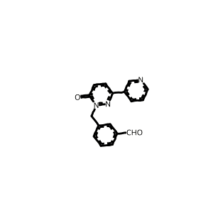 O=Cc1cccc(Cn2nc(-c3cccnc3)ccc2=O)c1